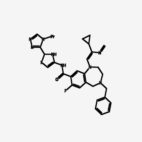 C=N/C(=C\N1CCN(Cc2ccccc2)Cc2cc(F)c(C(=O)NC3=CSC(c4nncn4C(C)C)N3)cc21)C1CC1